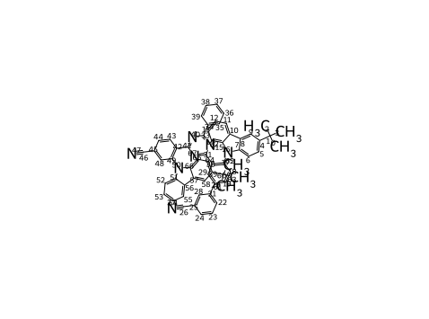 CC(C)(C)c1ccc2c(c1)c1ccccc1n2-c1ccc(-c2cccc(C#N)c2)cc1-c1nc(-c2ccccc2)nc(-c2ccc(C#N)cc2-n2c3ccccc3c3cc(C(C)(C)C)ccc32)n1